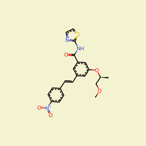 COC[C@H](C)Oc1cc(C=Cc2ccc([N+](=O)[O-])cc2)cc(C(=O)Nc2nccs2)c1